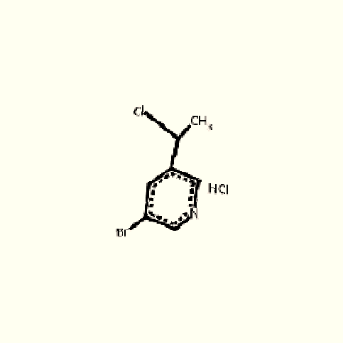 CC(Cl)c1cncc(Br)c1.Cl